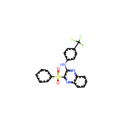 O=S(=O)(c1ccccc1)c1nc2ccccc2nc1Nc1ccc(C(F)(F)F)cc1